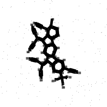 Cc1ccc2c(c1C#N)C(=C(C#N)C#N)c1cc3c(cc1-2)-c1cc(C#N)c(C(F)(F)F)cc1C3=C(C#N)C#N